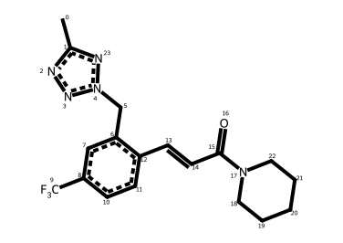 Cc1nnn(Cc2cc(C(F)(F)F)ccc2/C=C/C(=O)N2CCCCC2)n1